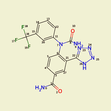 NC(=O)c1ccc(N(C(N)=O)c2cccc(C(F)(F)F)c2)c(-c2nnn[nH]2)c1